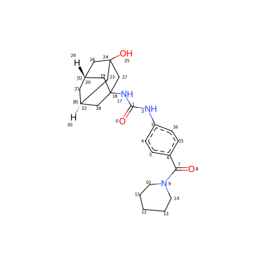 O=C(Nc1ccc(C(=O)N2CCCCC2)cc1)NC12C[C@@H]3C[C@@H](CC(O)(C3)C1)C2